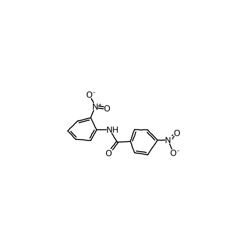 O=C(Nc1ccccc1[N+](=O)[O-])c1ccc([N+](=O)[O-])cc1